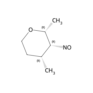 C[C@@H]1CCO[C@H](C)[C@@H]1N=O